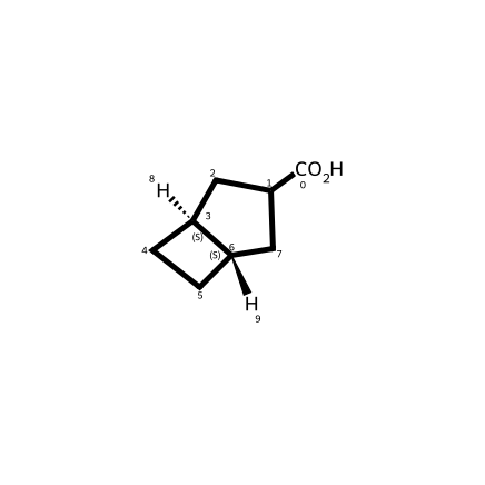 O=C(O)C1C[C@@H]2CC[C@H]2C1